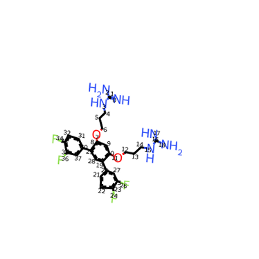 N=C(N)NCCCOc1cc(OCCCNC(=N)N)c(-c2ccc(F)c(F)c2)cc1-c1ccc(F)c(F)c1